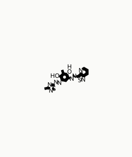 Cc1nsc(/N=N/c2cc(/N=N/c3snc4cccnc34)c(O)c(C)c2O)n1